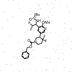 COc1ncc(C2CN(C(=O)OCc3ccccc3)CCC2(F)F)cc1C(N[S+]([O-])C(C)(C)C)C(F)F